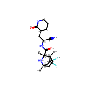 N#C[C@H](C[C@@H]1CCCNC1=O)NC(=O)[C@H]1N[C@H]2CC[C@@H]1C(F)(F)C2